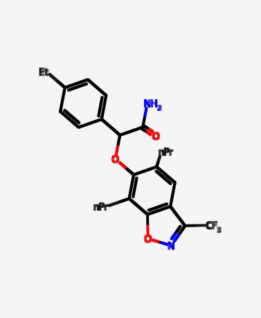 CCCc1cc2c(C(F)(F)F)noc2c(CCC)c1OC(C(N)=O)c1ccc(CC)cc1